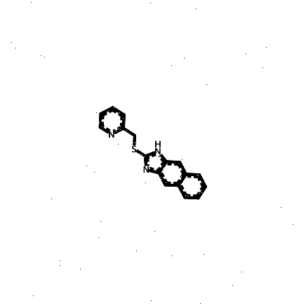 c1ccc(CSc2nc3cc4ccccc4cc3[nH]2)nc1